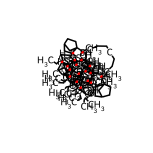 CCO[Si](OCC)(OCC)C1(S(S)(SS)C2(S(S)(SS)C3([Si](OCC)(OCC)OCC)CC4CCC3(CC)C4)CCCCCCCCCC(S(S)(SS)C3([Si](OCC)(OCC)OCC)CC4CCC3(CC)C4)(S(S)(SS)C3([Si](OCC)(OCC)OCC)CC4CCC3(CC)C4)C2(S(S)(SS)C2([Si](OCC)(OCC)OCC)CC3CCC2(CC)C3)S(S)(SS)C2([Si](OCC)(OCC)OCC)CC3CCC2(CC)C3)CC2CCC1(CC)C2